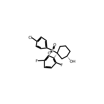 O=S(=O)(c1ccc(Cl)cc1)[C@@]1(c2cc(F)ccc2F)CCC[C@H](O)C1